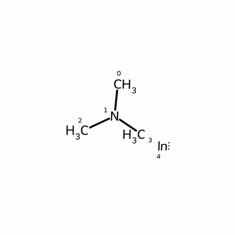 CN(C)C.[In]